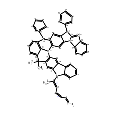 C=C/C=C\C=C(/C)n1c2ccccc2c2cc3c(cc21)C(C)(C)c1cccc2c1B3c1cc3c(cc1N2c1ccccc1)n(-c1ccccc1)c1nc2ccccc2n31